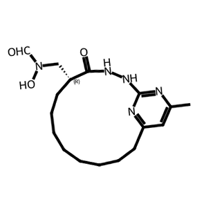 Cc1cc2nc(n1)NNC(=O)[C@@H](CN(O)C=O)CCCCCCCC2